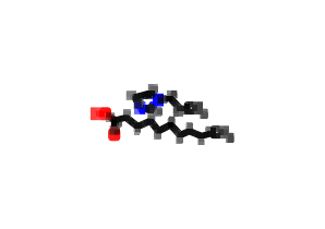 CCCCCCCCCC(=O)O.CCCn1ccnc1